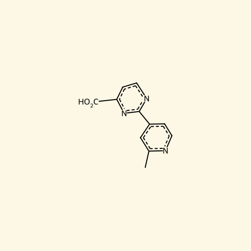 Cc1cc(-c2nccc(C(=O)O)n2)ccn1